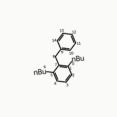 CCCCc1cccc(CCCC)c1Cc1ccccc1